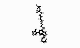 Cc1nocc1-c1cc(NCCOCCCCNC(=O)OC(C)(C)C)c2cnn(C3CCCCO3)c2c1